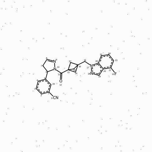 N#Cc1cccc(C2CC=NN2C(=O)C23CC(Cn4ncc5c(F)cccc54)(C2)C3)c1